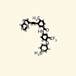 Cc1ccc(C(=O)Nc2ccc(OC3CCN(C)CC3)c(C(F)(F)F)c2)cc1C#Cc1cnc2cnccn12